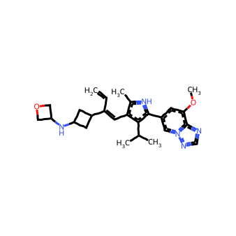 C=C/C(=C\c1c(C)[nH]c(-c2cc(OC)c3ncnn3c2)c1C(C)C)C1CC(NC2COC2)C1